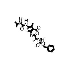 Cc1c(NC(=O)NC(C)C)sc2nc([C@H](C)NC(=O)OCc3ccccc3)oc(=O)c12